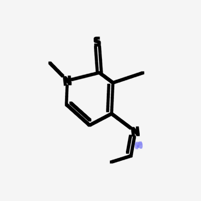 C/C=N\c1ccn(C)c(=S)c1C